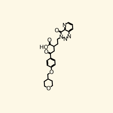 O=C(CC(CCn1nnc2cccnc2c1=O)C(=O)O)c1ccc(OCC2CCOCC2)cc1